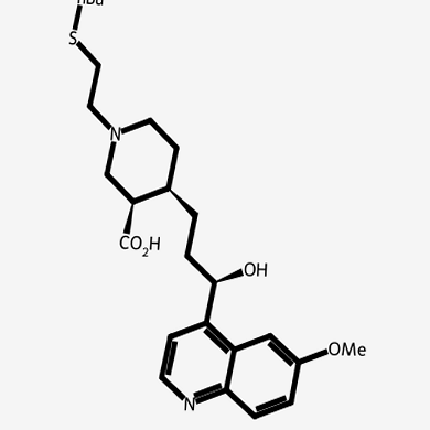 CCCCSCCN1CC[C@@H](CC[C@@H](O)c2ccnc3ccc(OC)cc23)[C@@H](C(=O)O)C1